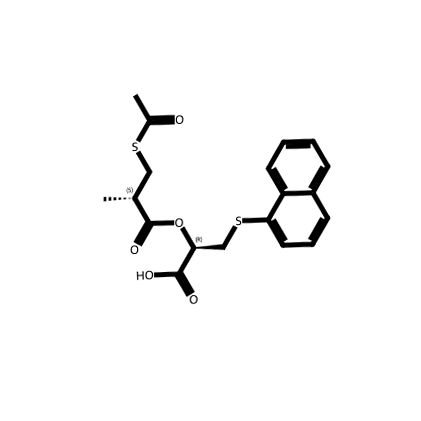 CC(=O)SC[C@@H](C)C(=O)O[C@@H](CSc1cccc2ccccc12)C(=O)O